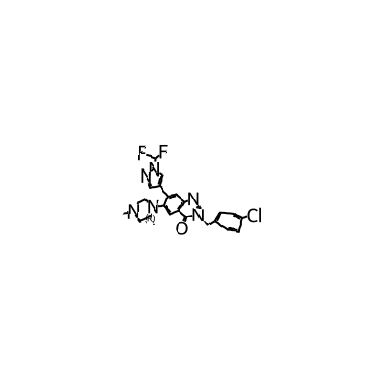 C[C@@H]1CN(C)CCN1c1cc2c(=O)n(Cc3ccc(Cl)cc3)cnc2cc1-c1cnn(C(F)F)c1